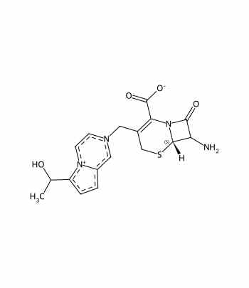 CC(O)c1ccc2cn(CC3=C(C(=O)[O-])N4C(=O)C(N)[C@@H]4SC3)cc[n+]1-2